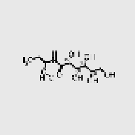 CCC(NC(=O)[C@H](O)[C@@H](O)[C@H](O)[C@H](O)CO)OC